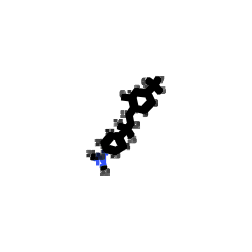 Cc1cc(C(C)(C)C)ccc1CCC(C)(C)c1ccc(N(C)C)cc1